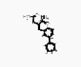 NC(=O)CC(Cc1cccc(-c2ccccc2)c1)C(N)=O